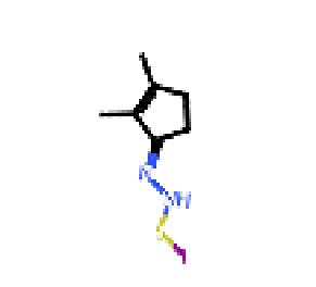 CC1=C(C)C(=NNSI)CC1